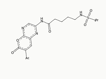 CC(=O)c1cc2nc(NC(=O)CCCCNS(=O)(=O)C(C)C)cnc2oc1=O